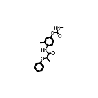 CNC(=O)Oc1ccc(NC(=O)C(C)Oc2ccccc2)c(C)c1